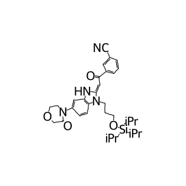 CC(C)[Si](OCCCN1/C(=C/C(=O)c2cccc(C#N)c2)Nc2cc(N3CCOCC3=O)ccc21)(C(C)C)C(C)C